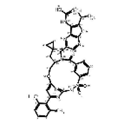 Cc1cccc(C)c1-c1cc2nc(n1)NS(=O)(=O)c1cccc(c1)C(=O)N(Cc1cnc3oc(C(C)C)c(NC(=O)O)c3n1)[C@H](CC1(C)CC1)CO2